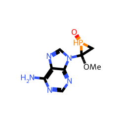 COC1(n2cnc3c(N)ncnc32)C[PH]1=O